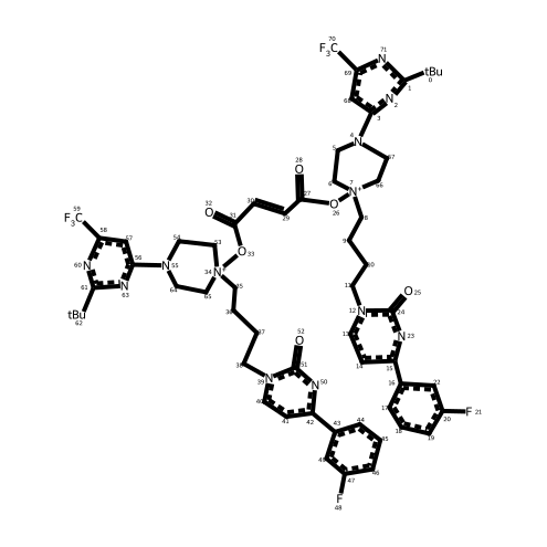 CC(C)(C)c1nc(N2CC[N+](CCCCn3ccc(-c4cccc(F)c4)nc3=O)(OC(=O)/C=C/C(=O)O[N+]3(CCCCn4ccc(-c5cccc(F)c5)nc4=O)CCN(c4cc(C(F)(F)F)nc(C(C)(C)C)n4)CC3)CC2)cc(C(F)(F)F)n1